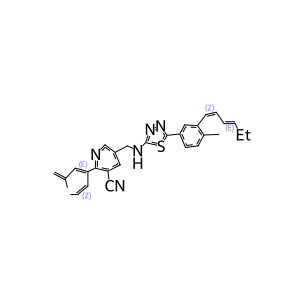 C=C(C)/C=C(\C=C/C)c1ncc(CNc2nnc(-c3ccc(C)c(/C=C\C=C\CC)c3)s2)cc1C#N